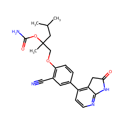 CC(C)CC(C)(COc1ccc(-c2ccnc3c2CC(=O)N3)cc1C#N)OC(N)=O